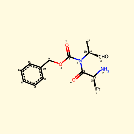 CC(C)[C@H](N)C(=O)N(C(=O)OCc1ccccc1)[C@@H](C)[C]=O